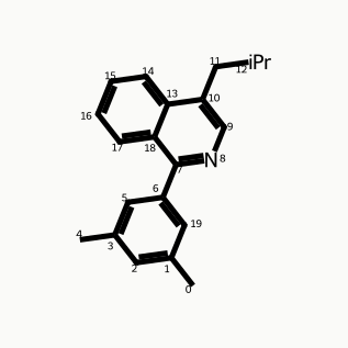 Cc1cc(C)cc(-c2ncc(CC(C)C)c3ccccc23)c1